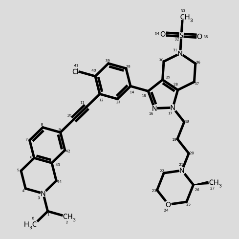 CC(C)N1CCc2ccc(C#Cc3cc(-c4nn(CCCN5CCOC[C@@H]5C)c5c4CN(S(C)(=O)=O)CC5)ccc3Cl)cc2C1